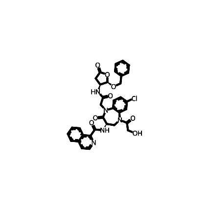 O=C(CN1C(=O)[C@@H](NC(=O)c2nccc3ccccc23)CN(C(=O)CO)c2cc(Cl)ccc21)N[C@H]1CC(=O)O[C@H]1OCc1ccccc1